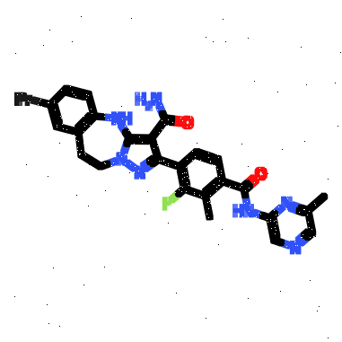 Cc1cncc(NC(=O)c2ccc(-c3nn4c(c3C(N)=O)Nc3ccc(C(C)C)cc3CC4)c(F)c2C)n1